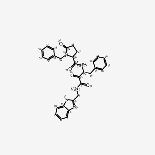 O=C(NCc1nc2ccccc2s1)C(=O)[C@H](Cc1ccccc1)NC(=O)C1CCC(=O)N1Cc1ccccc1